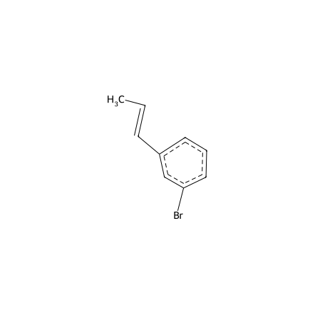 C/C=C/c1cccc(Br)c1